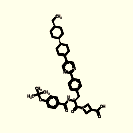 CC[C@H]1CC[C@H](C2CC=C(c3cnc(-c4ccc(C[C@H](NC(=O)c5ccc(OC(C)(C)C)cc5)C(=O)N5CC(C(=O)O)C5)cc4)nc3)CC2)CC1